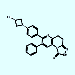 O=c1[nH]nc2n1-c1cc(-c3ccccc3)c(-c3ccc([C@H]4C[C@H](O)C4)cc3)nc1OC2